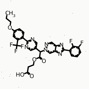 CCCOc1ccc(-c2ncc(C(C(=O)OCCC(=O)O)n3cc4nc(-c5cccc(F)c5F)nc-4cn3)cn2)c(C(F)(F)F)c1